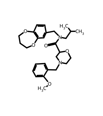 COc1ccccc1CN1CCOC(C(=O)N(Cc2ccc3c(c2)OCCCO3)CC(C)C)C1